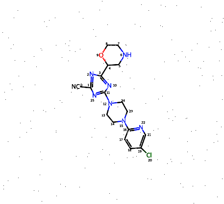 N#Cc1nc(C2CNCCO2)nc(N2CCN(c3ccc(Cl)cn3)CC2)n1